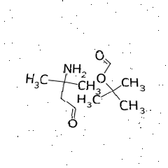 CC(C)(C)OC=O.CC(C)(N)CC=O